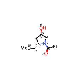 CCC(=O)N1C[C@H](O)C[C@H]1COC